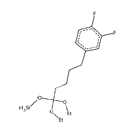 CCOC(CCCCc1ccc(F)c(F)c1)(O[SiH3])OCC